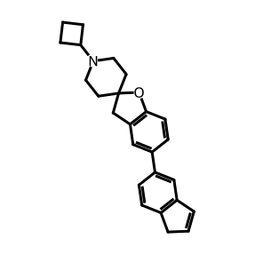 C1=Cc2cc(-c3ccc4c(c3)CC3(CCN(C5CCC5)CC3)O4)ccc2C1